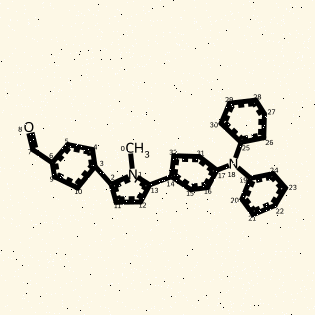 Cn1c(-c2ccc(C=O)cc2)ccc1-c1ccc(N(c2ccccc2)c2ccccc2)cc1